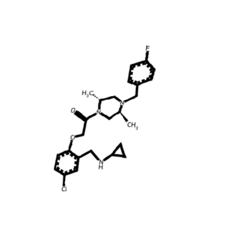 C[C@@H]1CN(Cc2ccc(F)cc2)[C@@H](C)CN1C(=O)COc1ccc(Cl)cc1CNC1CC1